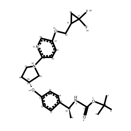 C[C@H](NC(=O)OC(C)(C)C)c1ccc(O[C@@H]2CCN(c3ccc(OCC4CC4(F)F)cn3)C2)cc1